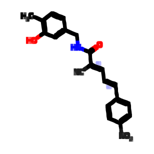 Cc1ccc(CNC(=O)/C(C#N)=C/C=C/c2ccc([N+](=O)[O-])cc2)cc1O